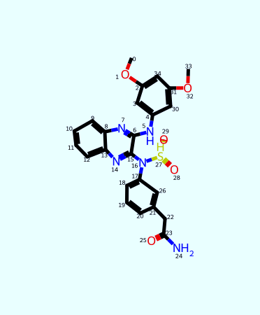 COc1cc(Nc2nc3ccccc3nc2N(c2cccc(CC(N)=O)c2)[SH](=O)=O)cc(OC)c1